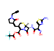 C#CCN1CCC(=CC2=C(C(=O)OC(=O)C(F)(F)F)N3C(=O)[C@@H](NC(=O)/C(=N\O)c4csc(N)n4)[C@H]3SC2)C1=O